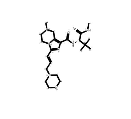 CNC(=O)[C@@H](NC(=O)c1nc(/C=C/CN2CCOCC2)n2c1CN(C)CC2)C(C)(C)C